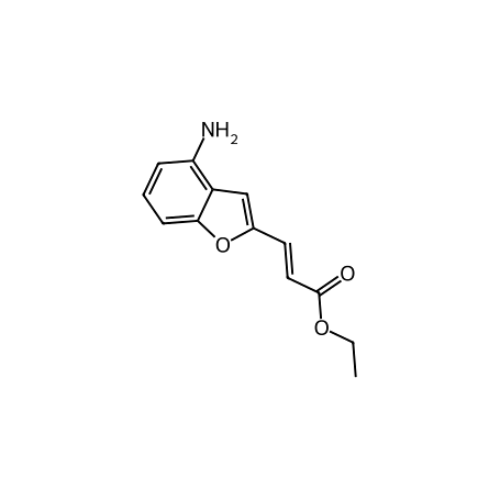 CCOC(=O)C=Cc1cc2c(N)cccc2o1